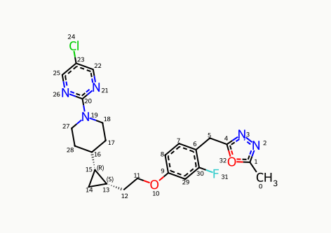 Cc1nnc(Cc2ccc(OCC[C@@H]3C[C@@H]3C3CCN(c4ncc(Cl)cn4)CC3)cc2F)o1